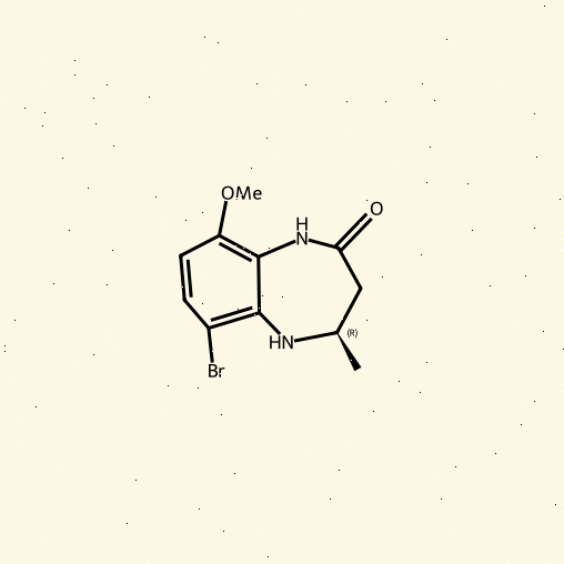 COc1ccc(Br)c2c1NC(=O)C[C@@H](C)N2